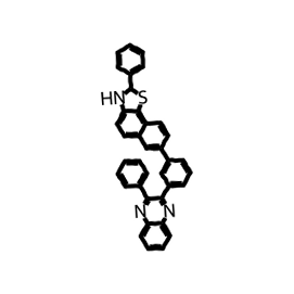 c1ccc(-c2nc3ccccc3nc2-c2cccc(-c3ccc4c5c(ccc4c3)NC(c3ccccc3)S5)c2)cc1